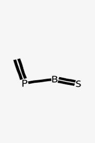 C=PB=S